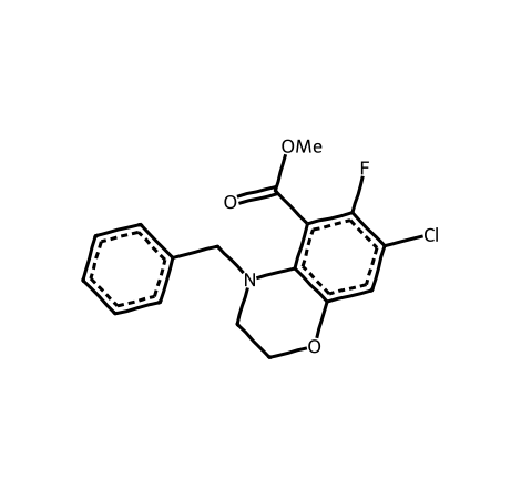 COC(=O)c1c(F)c(Cl)cc2c1N(Cc1ccccc1)CCO2